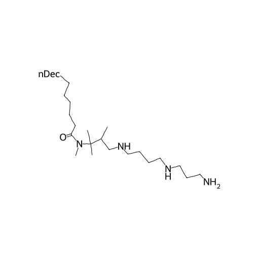 CCCCCCCCCCCCCCCC(=O)N(C)C(C)(C)C(C)CNCCCCNCCCN